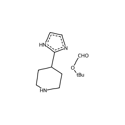 CC(C)(C)OC=O.c1c[nH]c(C2CCNCC2)n1